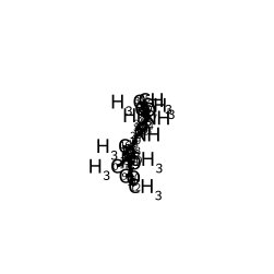 CCCN(C(=O)CCC(=O)OCC)c1cc(C)c(C#CCNc2ccc(C(=N)NC(=O)OC(C)(C)C)cc2)cc1C